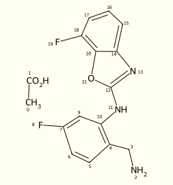 CC(=O)O.NCc1ccc(F)cc1Nc1nc2cccc(F)c2o1